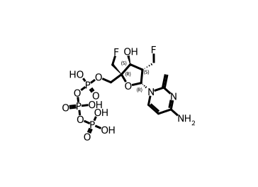 C=C1N=C(N)C=CN1[C@@H]1O[C@](CF)(COP(=O)(O)OP(=O)(O)OP(=O)(O)O)[C@@H](O)[C@@H]1CF